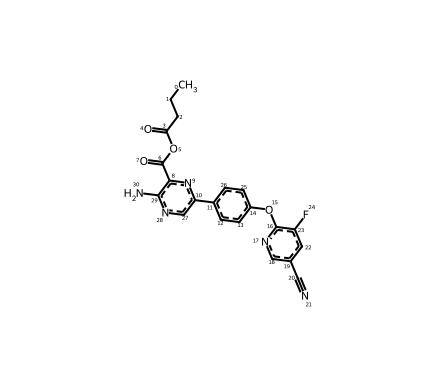 CCCC(=O)OC(=O)c1nc(-c2ccc(Oc3ncc(C#N)cc3F)cc2)cnc1N